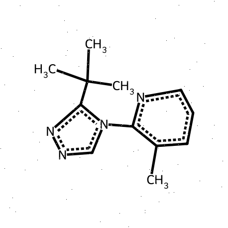 Cc1cccnc1-n1cnnc1C(C)(C)C